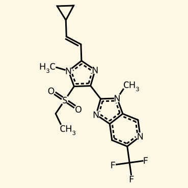 CCS(=O)(=O)c1c(-c2nc3cc(C(F)(F)F)ncc3n2C)nc(/C=C/C2CC2)n1C